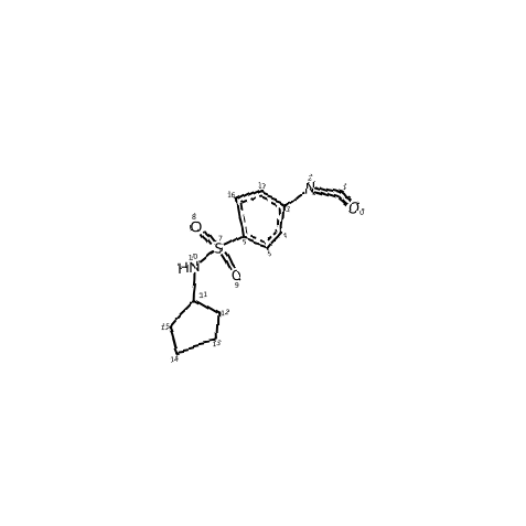 O=C=Nc1ccc(S(=O)(=O)NC2CCCC2)cc1